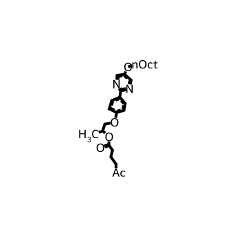 CCCCCCCCOc1cnc(-c2ccc(OCC(C)OC(=O)CCCC(C)=O)cc2)nc1